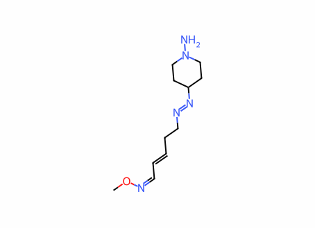 CO/N=C\C=C\CCN=NC1CCN(N)CC1